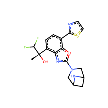 C[C@](O)(c1ccc(-c2nccs2)c2oc(N3CC4CC(C3)N4)nc12)C(F)F